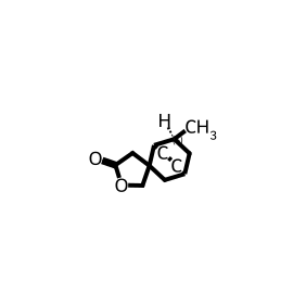 C[C@H]1CC2CCC1C1(COC(=O)C1)C2